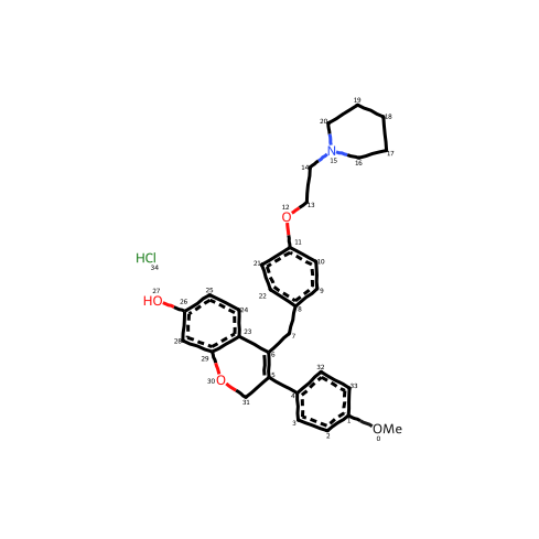 COc1ccc(C2=C(Cc3ccc(OCCN4CCCCC4)cc3)c3ccc(O)cc3OC2)cc1.Cl